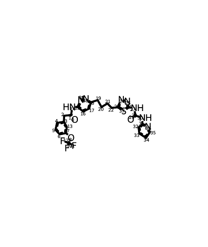 O=C(Cc1cccc(OC(F)(F)F)c1)Nc1ccc(CCCCc2nnc(NC(=O)Nc3ccccn3)s2)nn1